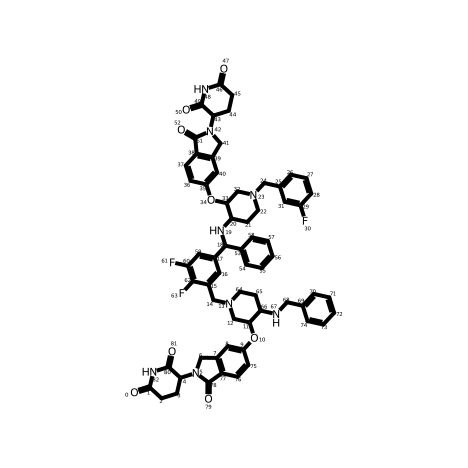 O=C1CCC(N2Cc3cc(OC4CN(Cc5cc(C(NC6CCN(Cc7cccc(F)c7)CC6Oc6ccc7c(c6)CN(C6CCC(=O)NC6=O)C7=O)c6ccccc6)cc(F)c5F)CCC4NCc4ccccc4)ccc3C2=O)C(=O)N1